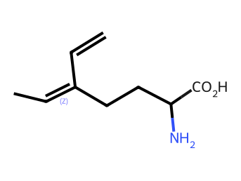 C=C/C(=C\C)CCC(N)C(=O)O